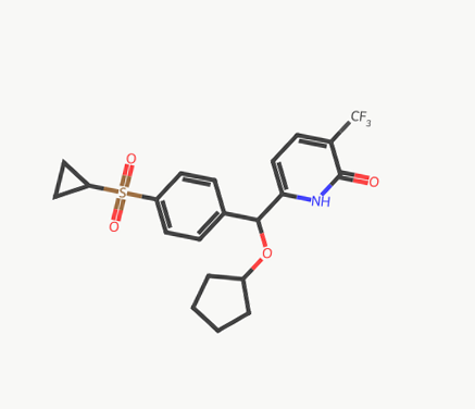 O=c1[nH]c(C(OC2CCCC2)c2ccc(S(=O)(=O)C3CC3)cc2)ccc1C(F)(F)F